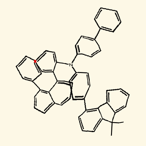 CC1(C)c2ccccc2-c2c(-c3ccc(N(c4ccc(-c5ccccc5)cc4)c4ccccc4-c4cccc5cccc(-c6ccccc6)c45)cc3)cccc21